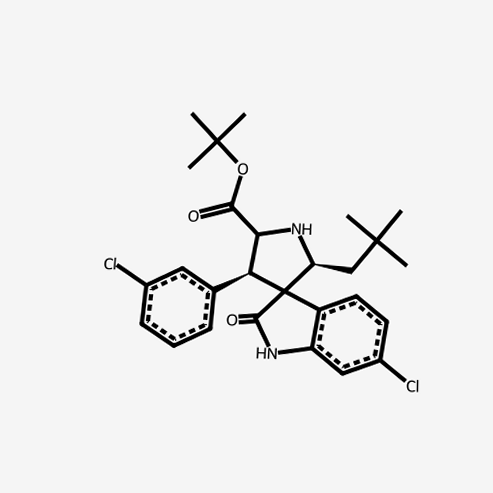 CC(C)(C)C[C@@H]1NC(C(=O)OC(C)(C)C)[C@H](c2cccc(Cl)c2)C12C(=O)Nc1cc(Cl)ccc12